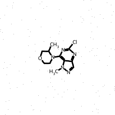 CC1COCCN1c1nc(Cl)nc2cnn(C)c12